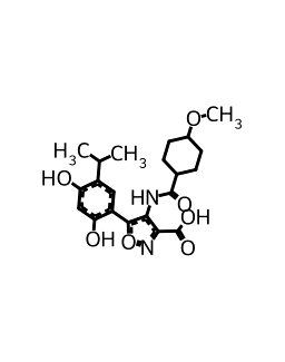 COC1CCC(C(=O)Nc2c(C(=O)O)noc2-c2cc(C(C)C)c(O)cc2O)CC1